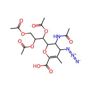 CC(=O)NC1C(N=[N+]=[N-])C(C)=C(C(=O)O)OC1C(OC(C)=O)C(COC(C)=O)OC(C)=O